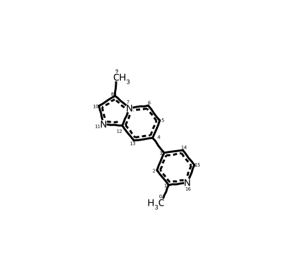 Cc1cc(-c2ccn3c(C)cnc3c2)ccn1